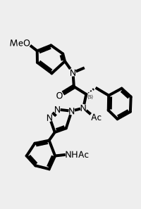 COc1ccc(N(C)C(=O)[C@H](Cc2ccccc2)N(C(C)=O)n2cc(-c3ccccc3NC(C)=O)nn2)cc1